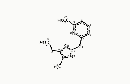 Cc1nc(Sc2cccc(C(=O)O)n2)sc1CC(=O)O